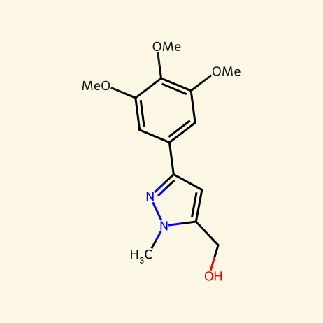 COc1cc(-c2cc(CO)n(C)n2)cc(OC)c1OC